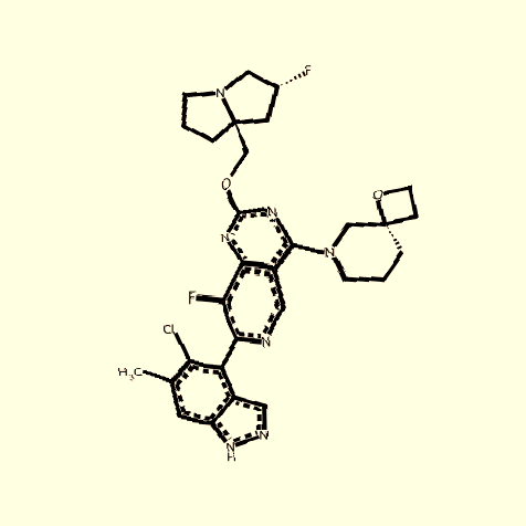 Cc1cc2[nH]ncc2c(-c2ncc3c(N4CCC[C@]5(CCO5)C4)nc(OC[C@@]45CCCN4C[C@H](F)C5)nc3c2F)c1Cl